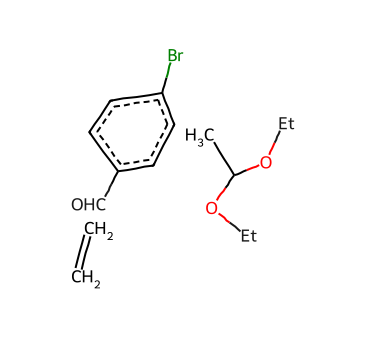 C=C.CCOC(C)OCC.O=Cc1ccc(Br)cc1